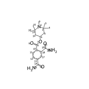 CN1C(C)(C)CC(OC(=O)c2ccc(C(N)=O)cc2C(N)=O)CC1(C)C